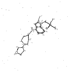 FC(F)(F)Cn1c(I)cc2c(NC3CCN(C4CCOC4)CC3)cccc21